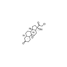 C[C@]12CCC(=O)C[C@H]1CC[C@H]1[C@@H]3CC[C@](O)(C(=O)CCl)[C@@]3(C)CC3O[C@]312